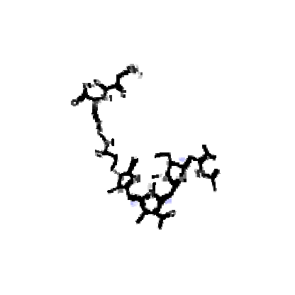 C=C(C)NC(/C=C1N=C(/C=c2\[nH]/c(=C\C3=NC(=C)[C@@H](CCC(=O)NCCC[C@H](NC(=O)C(=O)CN)C(=O)O)[C@@H]3C)c(C)c2C(C)=O)[C@H](C)[C@H]\1CC)=C(C)C